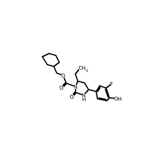 CCC1CC(c2ccc(O)c(F)c2)NC(=O)N1C(=O)OCC1CCCCC1